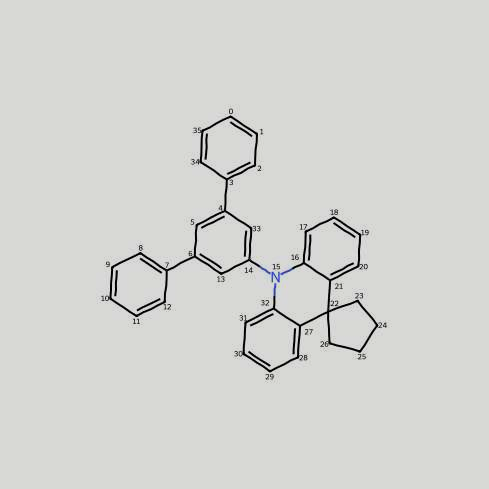 c1ccc(-c2cc(-c3ccccc3)cc(N3c4ccccc4C4(CCCC4)c4ccccc43)c2)cc1